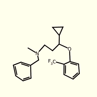 CN(CCC(Oc1ccccc1C(F)(F)F)C1CC1)Cc1ccccc1